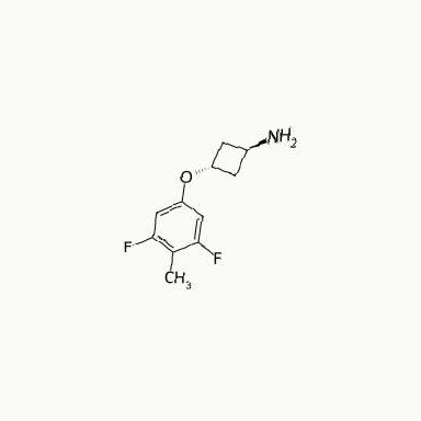 Cc1c(F)cc(O[C@H]2C[C@H](N)C2)cc1F